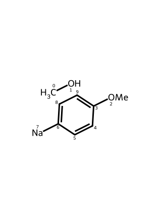 CO.COc1cc[c]([Na])cc1